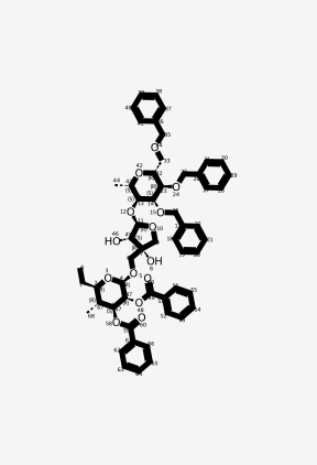 CC[C@H]1O[C@@H](OC[C@]2(O)CO[C@H](O[C@@H]3[C@@H](OCc4ccccc4)[C@H](OCc4ccccc4)[C@@H](COCc4ccccc4)O[C@H]3C)[C@H]2O)[C@H](OC(=O)c2ccccc2)[C@@H](OC(=O)c2ccccc2)[C@@H]1C